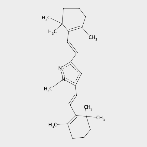 CC1=C(/C=C/c2cc(/C=C/C3=C(C)CCCC3(C)C)n(C)n2)C(C)(C)CCC1